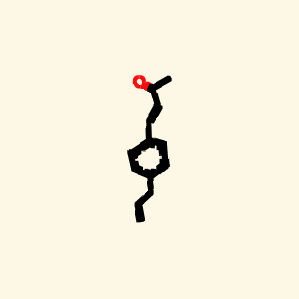 C=CCc1ccc(C=CC(C)=O)cc1